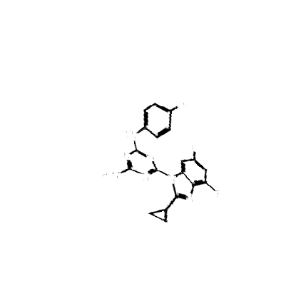 Nc1nc(Nc2ccc(C(F)(F)F)cc2)nc(-n2c(C3CC3)nc3c(F)cc(F)cc32)n1